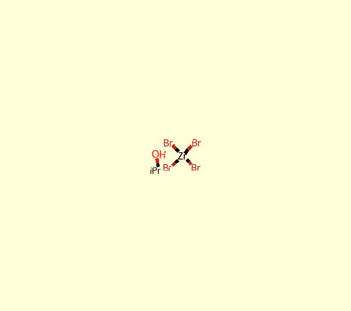 CC(C)O.[Br][Zr]([Br])([Br])[Br]